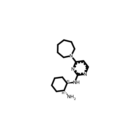 N[C@@H]1CCCC[C@H]1Nc1nccc(N2CCCCCC2)n1